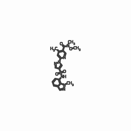 CON(C)C(=O)c1cnc(-n2cc(S(=O)(=O)Nc3cccc4cnn(C)c34)cn2)cc1C